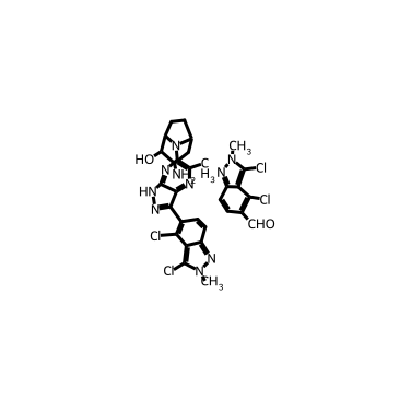 Cc1nc2c(-c3ccc4nn(C)c(Cl)c4c3Cl)n[nH]c2nc1N1C2CCC1C(O)C(N)C2.Cn1nc2ccc(C=O)c(Cl)c2c1Cl